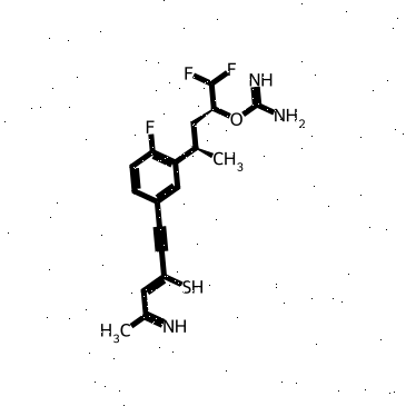 CC(=N)/C=C(\S)C#Cc1ccc(F)c([C@H](C)C[C@H](OC(=N)N)C(F)F)c1